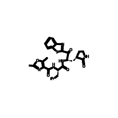 Cc1nc(C(=O)N[C@@H](CC(C)C)C(=O)N[C@@H](C[C@@H]2CCNC2=O)C(=O)c2nc3ccccc3s2)c(C)o1